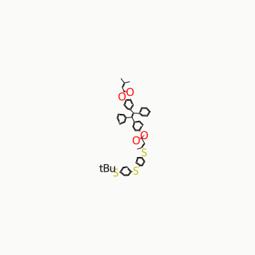 CC(C)=CC(=O)Oc1ccc(/C(=C(\c2ccccc2)c2ccc(OC(=O)/C=C(\C)Sc3ccc(Sc4ccc(SC(C)(C)C)cc4)cc3)cc2)c2ccccc2)cc1